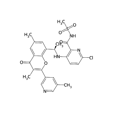 Cc1cncc(-c2oc3c([C@@H](C)Nc4ccc(Cl)nc4C(=O)NS(C)(=O)=O)cc(C)cc3c(=O)c2C)c1